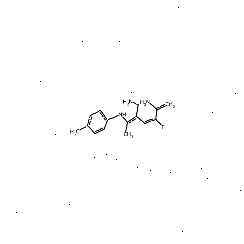 C=C(N)/C(F)=C\C(CN)=C(/C)Nc1ccc(C)cc1